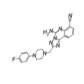 N#Cc1cccc2c1nc(N)n1nc(CN3CCN(c4ccc(F)cc4)CC3)nc21